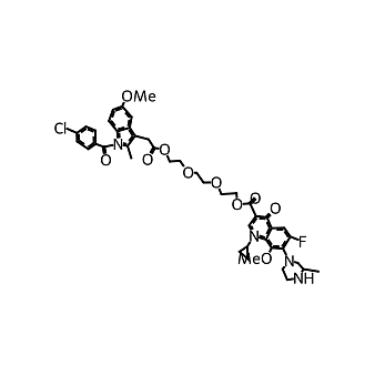 COc1ccc2c(c1)c(CC(=O)OCCOCCOCCOC(=O)c1cn(C3CC3)c3c(OC)c(N4CCNC(C)C4)c(F)cc3c1=O)c(C)n2C(=O)c1ccc(Cl)cc1